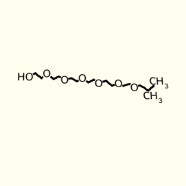 CCC(C)COCCOCCOCCOCCOCCOCCO